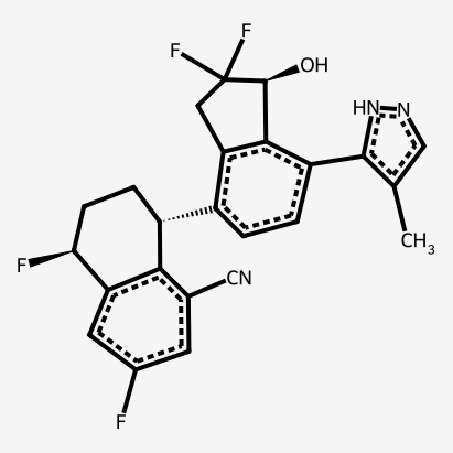 Cc1cn[nH]c1-c1ccc([C@H]2CC[C@H](F)c3cc(F)cc(C#N)c32)c2c1[C@H](O)C(F)(F)C2